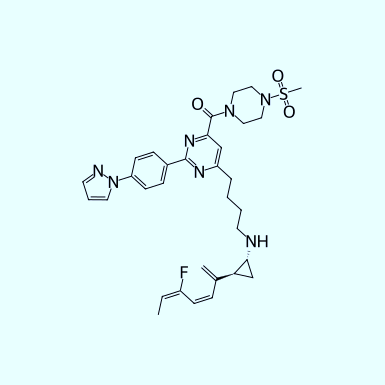 C=C(/C=C\C(F)=C/C)[C@@H]1C[C@H]1NCCCCc1cc(C(=O)N2CCN(S(C)(=O)=O)CC2)nc(-c2ccc(-n3cccn3)cc2)n1